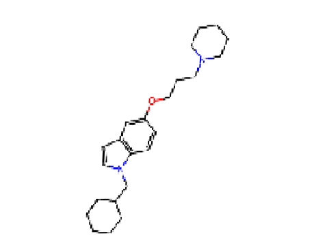 c1cc2c(ccn2CC2CCCCC2)cc1OCCCN1CCCCC1